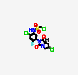 O=C1[C@@H]2C[C@H](Cl)CN2C(=O)N1c1cc(NS(=O)(=O)CCl)c(Cl)cc1F